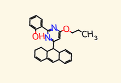 CCCOc1cc(C2C3CCC=CC3=CC3C=CC=CC32)nc(-c2ccccc2O)n1